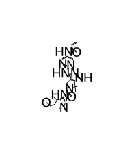 C=CC(=O)Nc1cnc(Nc2n[nH]c3c2CN(C(=O)N[C@H](CN(C)C)C2CCOCC2)C3(C)C)nc1